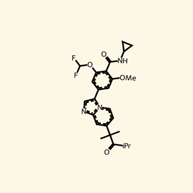 COc1cc(-c2cnc3cc(C(C)(C)C(=O)C(C)C)ccn23)cc(OC(F)F)c1C(=O)NC1CC1